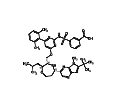 Cc1cccc(C)c1-c1cc(OC[C@@H]2N[C@H](c3cnc4cc(C(C)(C)C)n(C)c4n3)CCO[C@H]2CC(C)C)nc(NS(=O)(=O)c2cccc(C(=O)O)c2)n1